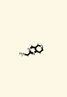 NCc1ncc2c(n1)CCOC2